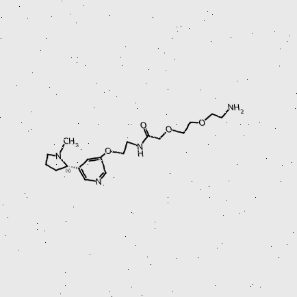 CN1CCC[C@H]1c1cncc(OCCNC(=O)COCCOCCN)c1